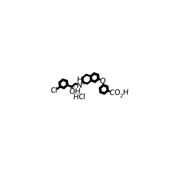 Cl.O=C(O)c1cccc(Oc2ccc3c(c2)C[C@@H](NC[C@H](O)c2cccc(Cl)c2)CC3)c1